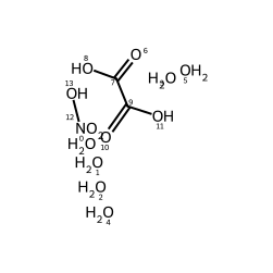 O.O.O.O.O.O.O=C(O)C(=O)O.O=[N+]([O-])O